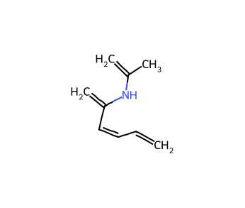 C=C/C=C\C(=C)NC(=C)C